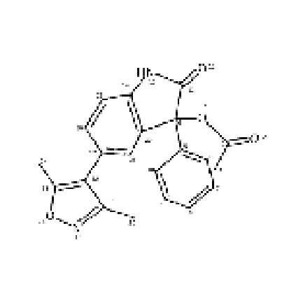 CC(=O)OC1(c2ccccc2)C(=O)Nc2ccc(-c3c(C)noc3C)cc21